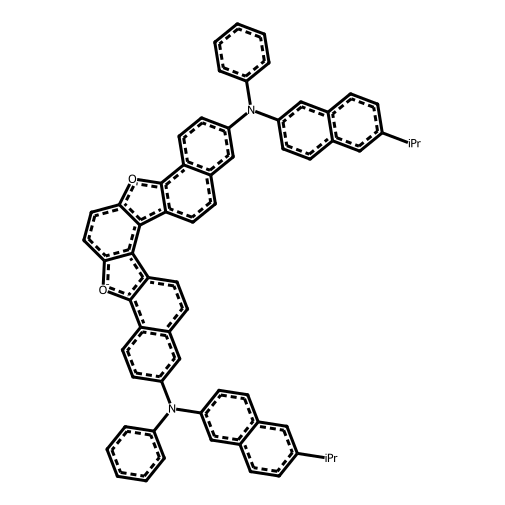 CC(C)c1ccc2cc(N(c3ccccc3)c3ccc4c(ccc5c4oc4ccc6oc7c8ccc(N(c9ccccc9)c9ccc%10cc(C(C)C)ccc%10c9)cc8ccc7c6c45)c3)ccc2c1